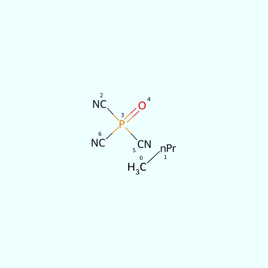 CCCC.N#CP(=O)(C#N)C#N